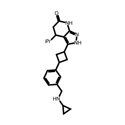 CC(C)C1CC(=O)Nc2n[nH]c(C3CC(c4cccc(CNC5CC5)c4)C3)c21